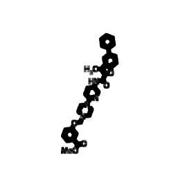 COC(=O)c1cccc(OCN2CCN(C3=NCC(NC(=O)c4oc5ccc(-c6ccccc6)cc5c4C)C=C3)CC2)c1